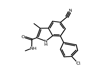 CNC(=O)c1[nH]c2c(-c3ccc(Cl)cc3)cc(C#N)cc2c1C